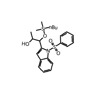 CCCC[Si](C)(C)OC(c1cc2ccccc2n1S(=O)(=O)c1ccccc1)C(C)O